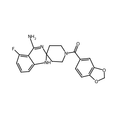 NC1=NC2(CCN(C(=O)c3ccc4c(c3)OCO4)CC2)Nc2cccc(F)c21